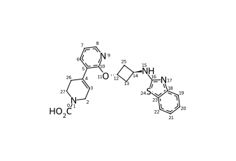 O=C(O)N1CC=C(c2cccnc2O[C@H]2C[C@H](Nc3nc4ccccc4s3)C2)CC1